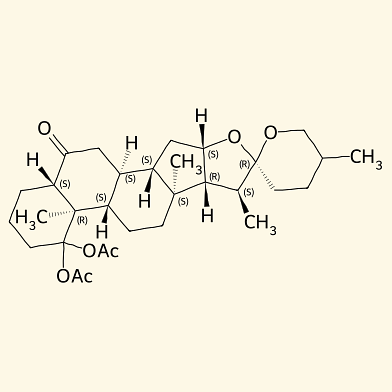 CC(=O)OC1(OC(C)=O)CCC[C@@H]2C(=O)C[C@H]3[C@@H]4C[C@@H]5O[C@]6(CCC(C)CO6)[C@@H](C)[C@@H]5[C@@]4(C)CC[C@@H]3[C@]21C